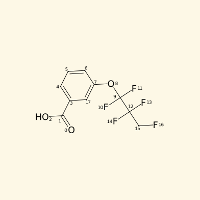 O=C(O)c1cccc(OC(F)(F)C(F)(F)CF)c1